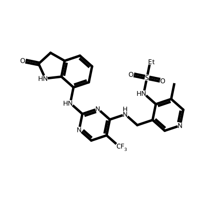 CCS(=O)(=O)Nc1c(C)cncc1CNc1nc(Nc2cccc3c2NC(=O)C3)ncc1C(F)(F)F